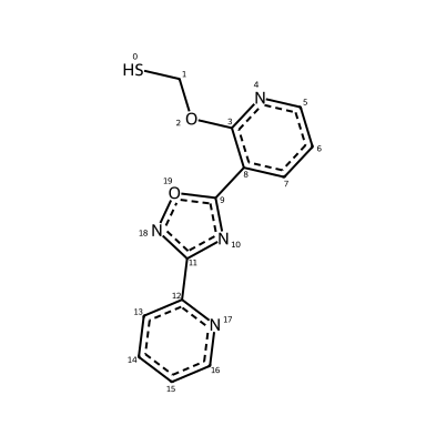 SCOc1ncccc1-c1nc(-c2ccccn2)no1